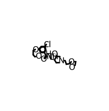 O=C(NC[C@@H]1CCN(CCC2OCCO2)C[C@H]1O)c1cc(Cl)cc2c1OCCCO2